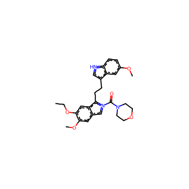 CCOc1cc2c(CCc3c[nH]c4ccc(OC)cc34)n(C(=O)N3CCOCC3)cc2cc1OC